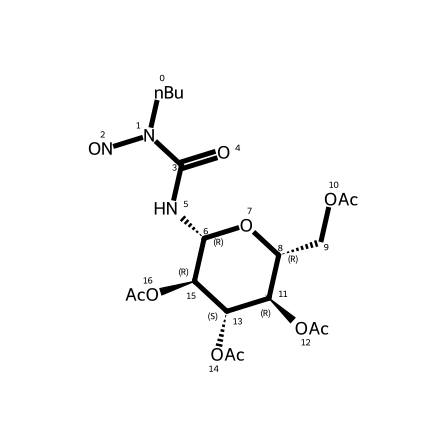 CCCCN(N=O)C(=O)N[C@@H]1O[C@H](COC(C)=O)[C@@H](OC(C)=O)[C@H](OC(C)=O)[C@H]1OC(C)=O